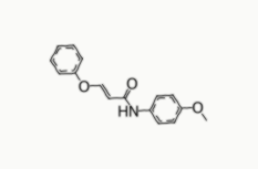 COc1ccc(NC(=O)C=COc2ccccc2)cc1